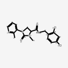 Cc1ncccc1N1CC(C(=O)NCc2ccc(Cl)cc2Cl)N(C)C1=O